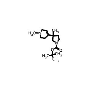 CN1CC=C(C2(C)CCN(C(=O)OC(C)(C)C)C2)CC1